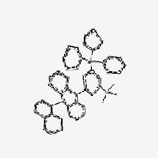 C[Si](C)(C)c1cc(-c2c3ccccc3c(-c3cccc4ccccc34)c3ccccc23)cc([Si](c2ccccc2)(c2ccccc2)c2ccccc2)c1